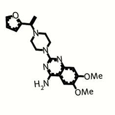 C=C(c1ccco1)N1CCN(c2nc(N)c3cc(OC)c(OC)cc3n2)CC1